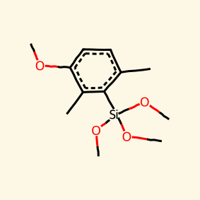 COc1ccc(C)c([Si](OC)(OC)OC)c1C